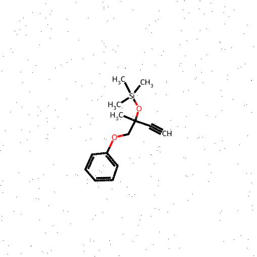 C#CC(C)(COc1ccccc1)O[Si](C)(C)C